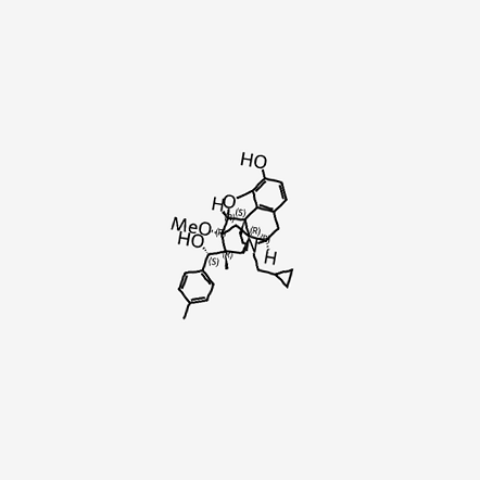 CO[C@]12C[C@@]3(C[C@]1(C)[C@@H](O)c1ccc(C)cc1)[C@H]1Cc4ccc(O)c5c4[C@@]3(CCN1CC1CC1)[C@H]2O5